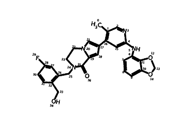 Cc1cnc(Nc2cccc3c2OCO3)cc1-c1cc2n(c1)CCN(Cc1cc(F)ccc1CO)C2=O